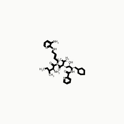 CCC(C)[C@H](N)C(=O)N(C/C=C/CNc1ncccc1N)C(=O)[C@@H](C[C@H](O)[C@H](CC1CCCCC1)NC(=O)c1ccccn1)C(C)C